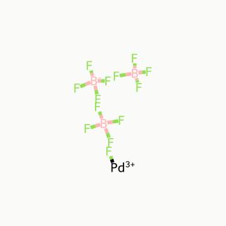 F[B-](F)(F)F.F[B-](F)(F)F.F[B-](F)(F)F.[F][Pd+3]